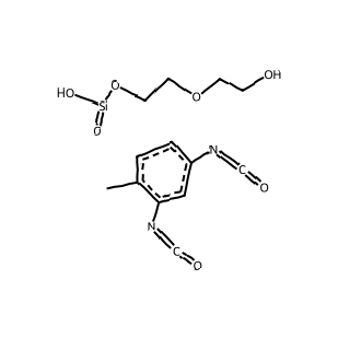 Cc1ccc(N=C=O)cc1N=C=O.O=[Si](O)OCCOCCO